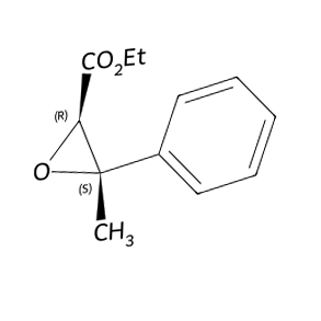 CCOC(=O)[C@@H]1O[C@@]1(C)c1ccccc1